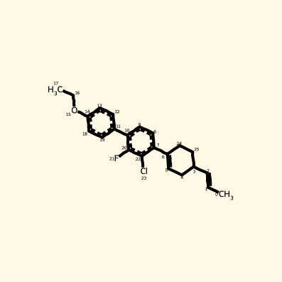 C/C=C/C1CC=C(c2ccc(-c3ccc(OCC)cc3)c(F)c2Cl)CC1